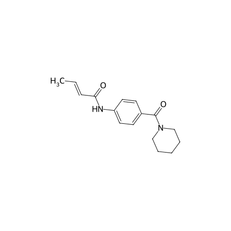 C/C=C/C(=O)Nc1ccc(C(=O)N2CCCCC2)cc1